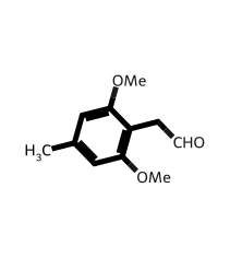 COc1cc(C)cc(OC)c1CC=O